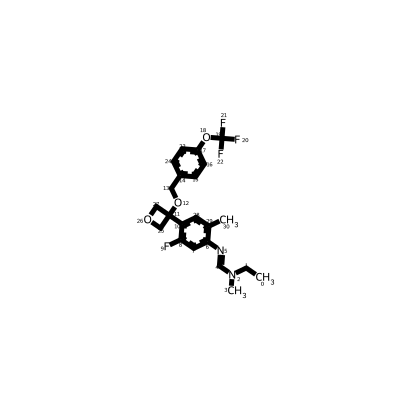 CCN(C)C=Nc1cc(F)c(C2(OCc3ccc(OC(F)(F)F)cc3)COC2)cc1C